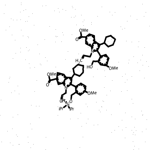 C=CCn1c(-c2ccc(OC)cc2CO)c(C2CCCCC2)c2ccc(C(=O)OC)cc21.C=CCn1c(-c2ccc(OC)cc2CO[Si](C(C)C)(C(C)C)C(C)C)c(C2CCCCC2)c2ccc(C(=O)OC)cc21